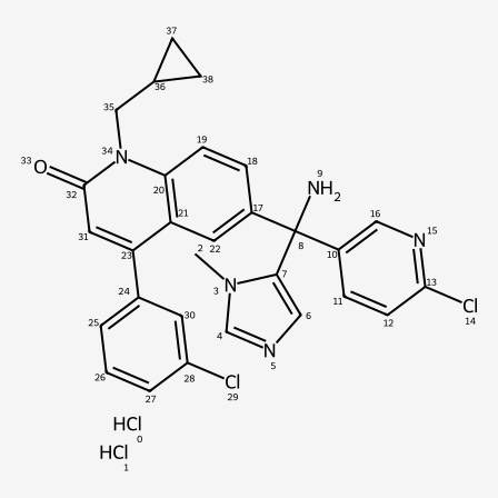 Cl.Cl.Cn1cncc1C(N)(c1ccc(Cl)nc1)c1ccc2c(c1)c(-c1cccc(Cl)c1)cc(=O)n2CC1CC1